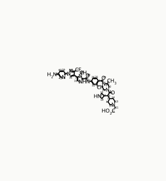 C[C@H]1CN(C(=O)C(C2CCN(CC(=O)O)CC2)C2CNC2)CCN1C(=O)c1ccc(NC(=O)c2ncc(-c3cn(-c4ccc(N)cn4)nc3C(F)(F)F)n2C)cc1Cl